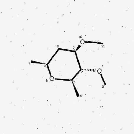 CO[C@@H]1[C@@H](C)O[C@@H](C)C[C@H]1OC